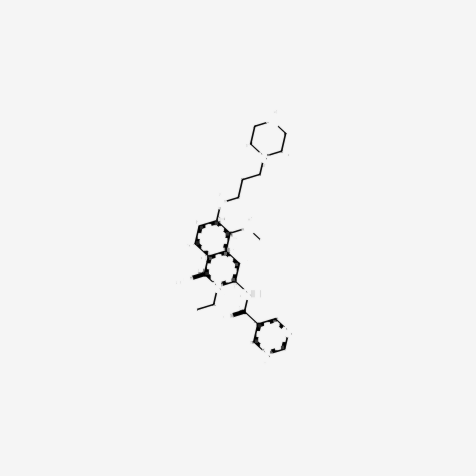 CCn1c(NC(=O)c2cncnc2)cc2c(OC)c(OCCCN3CCOCC3)ccc2c1=O